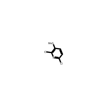 CSc1ccc(Cl)nc1Cl